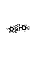 Cc1ccc(S(=O)(=O)OC(=O)c2ccc(Cl)cc2)cc1